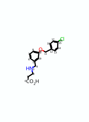 O=C(O)CCNCc1cccc(OCc2ccc(Cl)cc2)c1